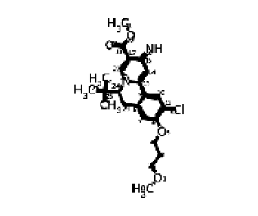 COCCCOc1cc2c(cc1Cl)-c1cc(=N)c(C(=O)OC)cn1C(C(C)(C)C)C2